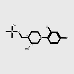 CC(C)(C)[Si](C)(C)OC[C@H]1CCN(c2ccc(Cl)cc2Cl)C[C@@H]1O